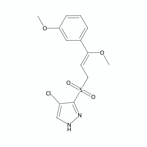 COC(=CCS(=O)(=O)c1n[nH]cc1Cl)c1cccc(OC)c1